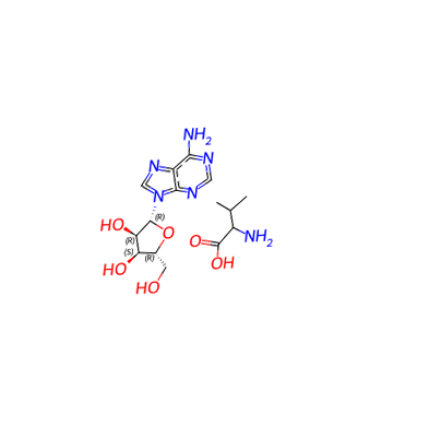 CC(C)C(N)C(=O)O.Nc1ncnc2c1ncn2[C@@H]1O[C@H](CO)[C@@H](O)[C@H]1O